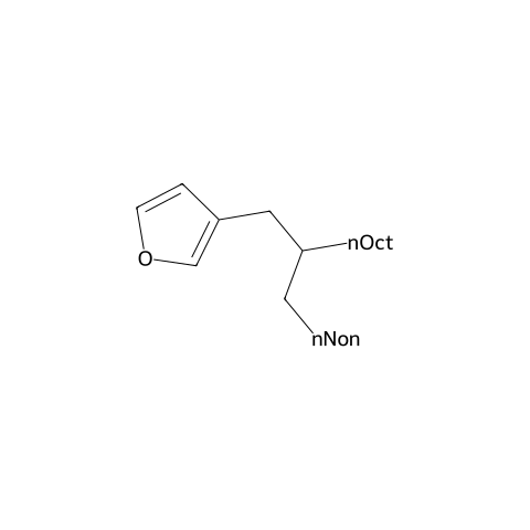 CCCCCCCCCCC(CCCCCCCC)Cc1ccoc1